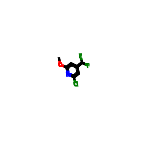 COc1cc(C(F)F)cc(Cl)n1